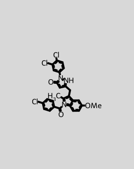 COc1ccc2c(c1)c(Cc1cc(=O)n(-c3ccc(Cl)c(Cl)c3)[nH]1)c(C)n2C(=O)c1ccc(Cl)cc1